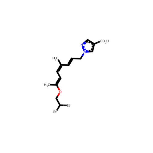 CCC(CC)CO/C(C)=C/C=C(C)\C=C\Cn1cc(C(=O)O)cn1